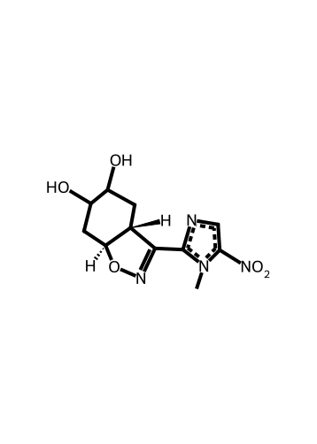 Cn1c([N+](=O)[O-])cnc1C1=NO[C@H]2CC(O)C(O)C[C@H]12